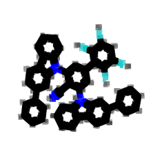 N#Cc1c(-n2c3ccccc3c3ccc(-c4ccccc4)cc32)cc(-c2c(F)c(F)cc(F)c2F)cc1-n1c2ccccc2c2ccc(-c3ccccc3)cc21